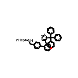 CCCCCCCNCc1ccc(-c2ccccc2-c2nnnn2C(c2ccccc2)(c2ccccc2)c2ccccc2)cc1